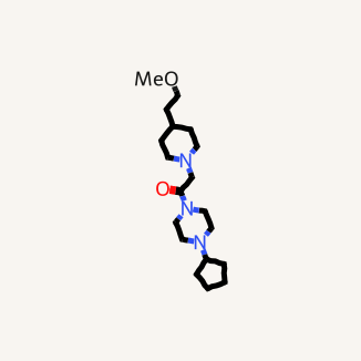 COCCC1CCN(CC(=O)N2CCN(C3CCCC3)CC2)CC1